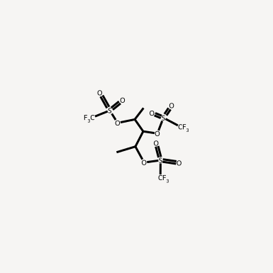 CC(OS(=O)(=O)C(F)(F)F)C(OS(=O)(=O)C(F)(F)F)C(C)OS(=O)(=O)C(F)(F)F